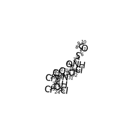 O=C(NCCSCc1ccco1)c1cc(NC(=O)[C@@H]2[C@@H](c3cc(Cl)cc(Cl)c3)C2(Cl)Cl)ccc1Cl